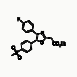 CCOC(=O)Cc1nc(-c2ccc(F)cc2)c(-c2ccc(S(C)(=O)=O)cc2)o1